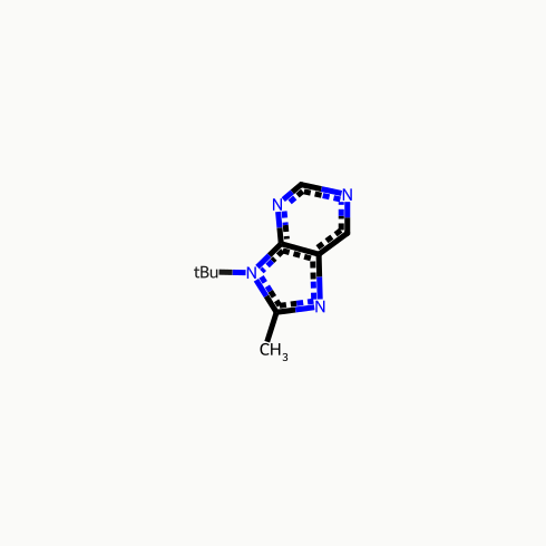 Cc1nc2cncnc2n1C(C)(C)C